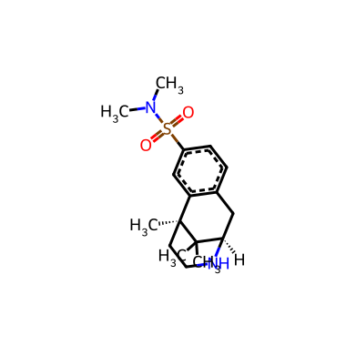 CN(C)S(=O)(=O)c1ccc2c(c1)[C@]1(C)CCN[C@H](C2)C1(C)C